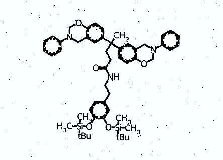 CC(CCC(=O)NCCc1ccc(O[Si](C)(C)C(C)(C)C)c(O[Si](C)(C)C(C)(C)C)c1)(c1ccc2c(c1)CN(c1ccccc1)CO2)c1ccc2c(c1)CN(c1ccccc1)CO2